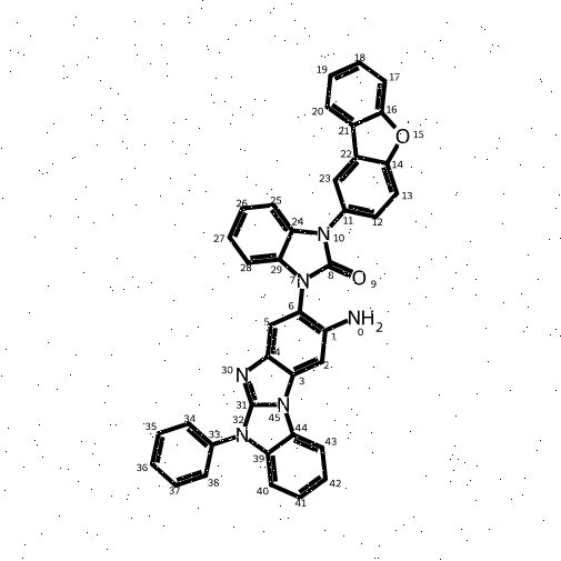 Nc1cc2c(cc1-n1c(=O)n(-c3ccc4oc5ccccc5c4c3)c3ccccc31)nc1n(-c3ccccc3)c3ccccc3n21